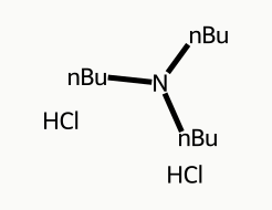 CCCCN(CCCC)CCCC.Cl.Cl